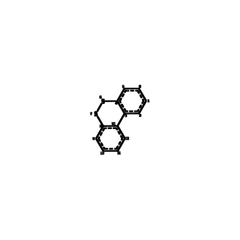 c1ccc2c(c1)SSc1ccccc1-2